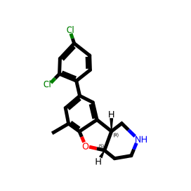 Cc1cc(-c2ccc(Cl)cc2Cl)cc2c1O[C@H]1CCNC[C@@H]21